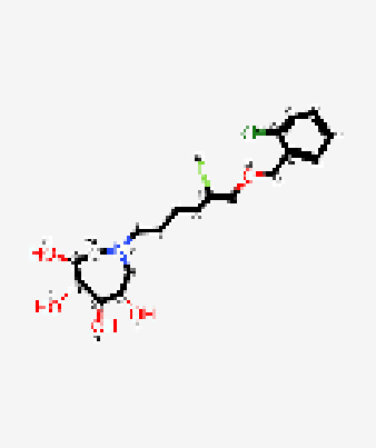 O[C@H]1[C@H](O)[C@@H](O)CN(CCCCC(F)COCc2ccccc2Cl)C[C@@H]1O